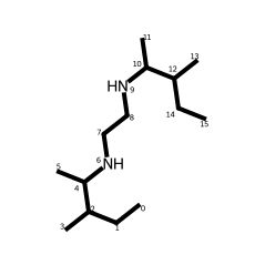 CCC(C)C(C)NCCNC(C)C(C)CC